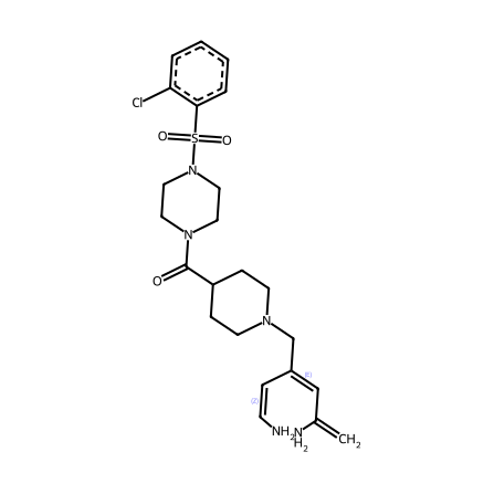 C=C(N)/C=C(\C=C/N)CN1CCC(C(=O)N2CCN(S(=O)(=O)c3ccccc3Cl)CC2)CC1